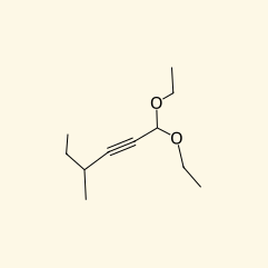 CCOC(C#CC(C)CC)OCC